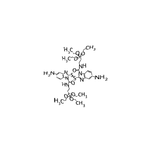 CCO[Si](CCNC(=O)n1c(SSc2nc3cc(N)ccc3n2C(=O)NCC[Si](OCC)(OCC)OCC)nc2cc(N)ccc21)(OCC)OCC